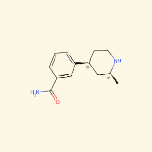 C[C@H]1C[C@@H](c2cccc(C(N)=O)c2)CCN1